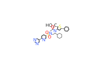 O=C(O)c1sc(-c2ccccc2)cc1N1C(=O)CN(S(=O)(=O)c2ccc(-c3cncnc3)nc2)CC1C1CCCCC1